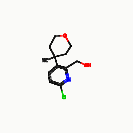 N#CC1(c2ccc(Cl)nc2CO)CCOCC1